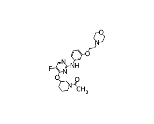 CC(=O)N1CCC[C@@H](Oc2nc(Nc3cccc(OCCN4CCOCC4)c3)ncc2F)C1